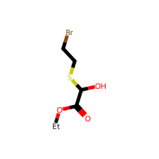 CCOC(=O)C(O)SCCBr